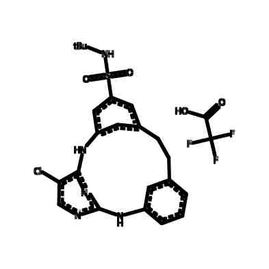 CC(C)(C)NS(=O)(=O)c1cc2cc(c1)Nc1nc(ncc1Cl)Nc1cccc(c1)CC2.O=C(O)C(F)(F)F